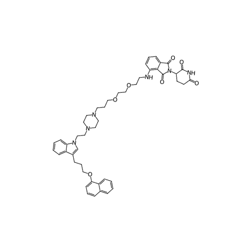 O=C1CCC(N2C(=O)c3cccc(NCCOCCOCCCN4CCN(CCn5cc(CCCOc6cccc7ccccc67)c6ccccc65)CC4)c3C2=O)C(=O)N1